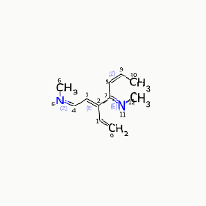 C=CC(=C\C=N/C)/C(/C=C\C)=N/C